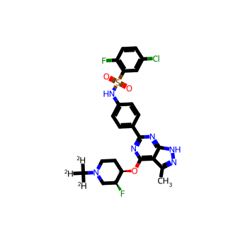 [2H]C([2H])([2H])N1CC[C@@H](Oc2nc(-c3ccc(NS(=O)(=O)c4cc(Cl)ccc4F)cc3)nc3[nH]nc(C)c23)[C@@H](F)C1